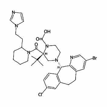 CC(C)(C)[C@]1(C(=O)N2CCCCC2CCn2ccnc2)CN([C@H]2c3ccc(Cl)cc3CCc3cc(Br)cnc32)CCN1C(=O)O